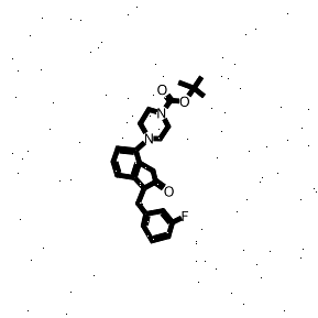 CC(C)(C)OC(=O)N1CCN(c2cccc3c2CC(=O)C3Cc2cccc(F)c2)CC1